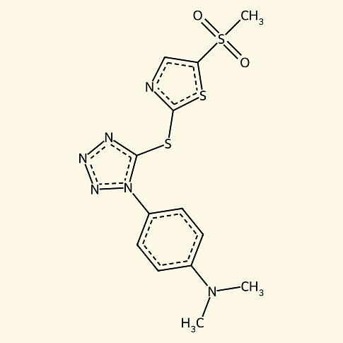 CN(C)c1ccc(-n2nnnc2Sc2ncc(S(C)(=O)=O)s2)cc1